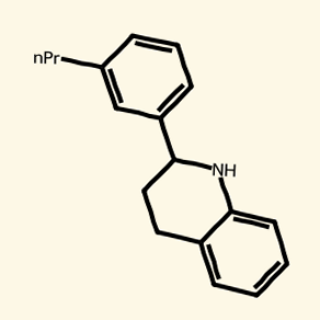 CCCc1cccc(C2CCc3ccccc3N2)c1